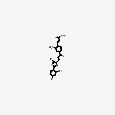 COC(=O)/C=C/c1ccc(C(=O)/C=C/c2nc(-c3ccc(Cl)cc3O)oc2C(C)C)cc1C